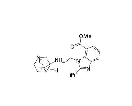 COC(=O)c1cccc2nc(C(C)C)n(CCN[C@@H]3CN4CCC3CC4)c12